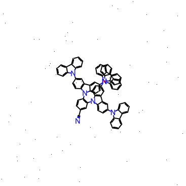 N#Cc1ccc(-n2c3ccc(-n4c5ccccc5c5ccccc54)cc3c3cc(-n4c5ccccc5c5ccccc54)ccc32)c(-n2c3ccc(-n4c5ccccc5c5ccccc54)cc3c3cc(-n4c5ccccc5c5ccccc54)ccc32)c1